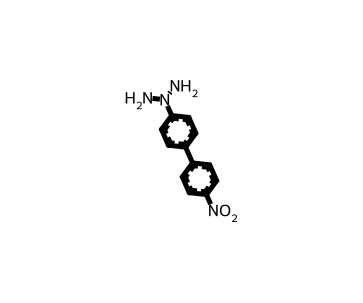 NN(N)c1ccc(-c2ccc([N+](=O)[O-])cc2)cc1